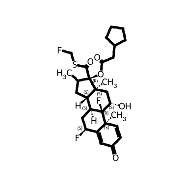 CC1C[C@H]2[C@@H]3C[C@H](F)C4=CC(=O)C=C[C@]4(C)[C@@]3(F)[C@@H](O)C[C@]2(C)[C@@]1(OC(=O)CC1CCCC1)C(=O)SCF